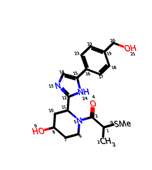 CSC(C)C(=O)N1CCC(O)CC1c1ncc(-c2ccc(CO)cc2)[nH]1